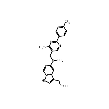 Cc1nc(-c2ccc(C(F)(F)F)cc2)ncc1CN(C)c1ccc2[nH]cc(CC(=O)O)c2c1